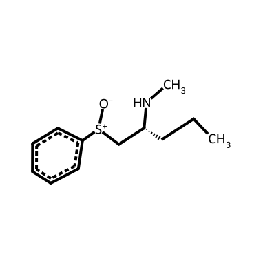 CCC[C@H](C[S+]([O-])c1ccccc1)NC